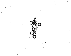 C#CCOC(=O)C(Cc1ccc(OC(=O)c2ccccc2)cc1)NC(=O)c1ccccc1